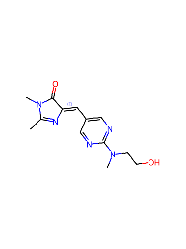 CC1=N/C(=C\c2cnc(N(C)CCO)nc2)C(=O)N1C